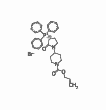 C=CCOC(=O)N1CCC(N2CC[C@@H]([P+](c3ccccc3)(c3ccccc3)c3ccccc3)C2=O)CC1.[Br-]